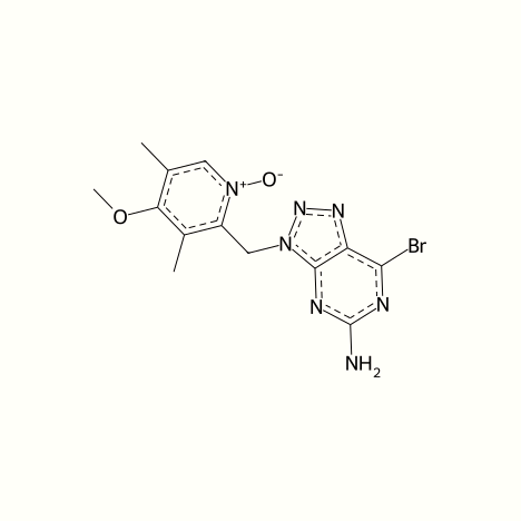 COc1c(C)c[n+]([O-])c(Cn2nnc3c(Br)nc(N)nc32)c1C